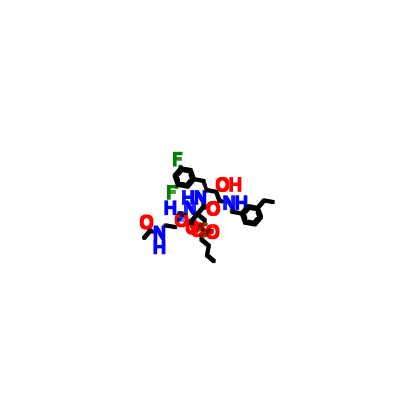 CCCCS(=O)(=O)C[C@@](N)(C(=O)N[C@@H](Cc1cc(F)cc(F)c1)[C@H](O)CNCc1cccc(CC)c1)C(=O)OCCNC(C)=O